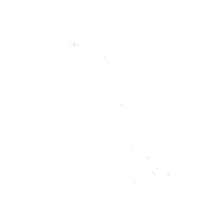 COc1ccccc1CNCC(=O)Nc1ccc(-c2ccc(C(=O)N[C@@H](CN)C(=O)NO)cc2)cc1